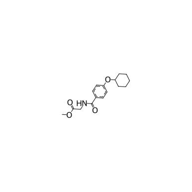 COC(=O)CNC(=O)c1ccc(OC2CCCCC2)cc1